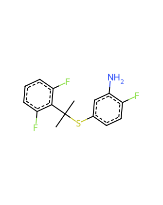 CC(C)(Sc1ccc(F)c(N)c1)c1c(F)cccc1F